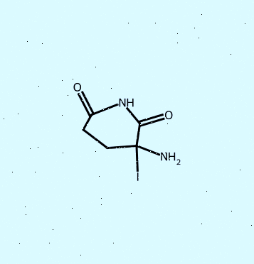 NC1(I)CCC(=O)NC1=O